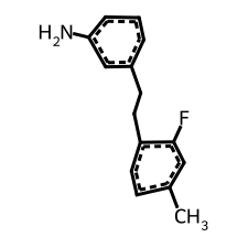 Cc1ccc(CCc2cccc(N)c2)c(F)c1